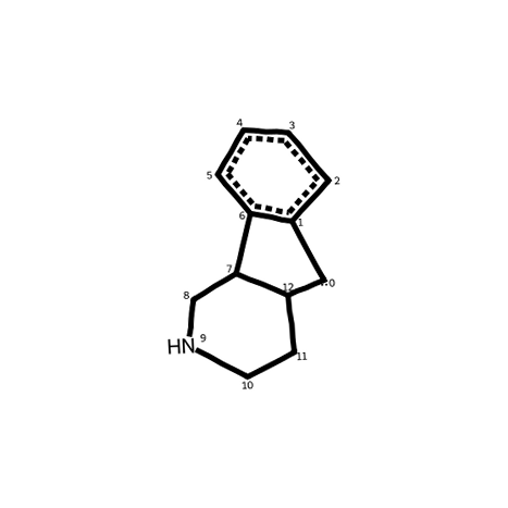 [C]1c2ccccc2C2CNCCC12